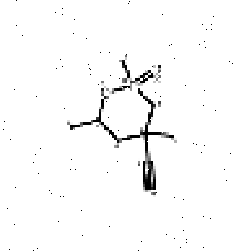 C#CC1(C)CC(C)OP(C)(=O)C1